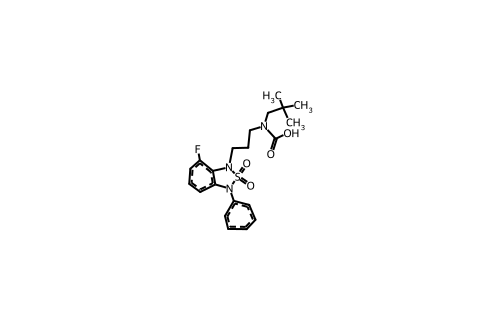 CC(C)(C)CN(CCCN1c2c(F)cccc2N(c2ccccc2)S1(=O)=O)C(=O)O